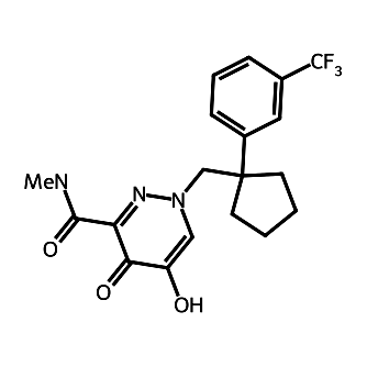 CNC(=O)c1nn(CC2(c3cccc(C(F)(F)F)c3)CCCC2)cc(O)c1=O